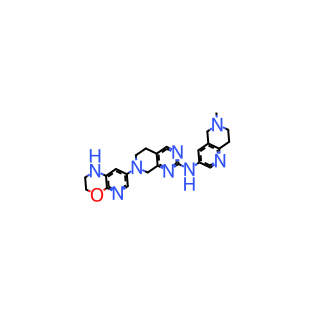 CN1CCc2ncc(Nc3ncc4c(n3)CN(c3cnc5c(c3)NCCO5)CC4)cc2C1